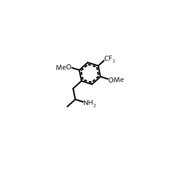 COc1cc(C(F)(F)F)c(OC)cc1CC(C)N